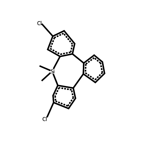 C[Si]1(C)c2cc(Cl)ccc2-c2ccccc2-c2ccc(Cl)cc21